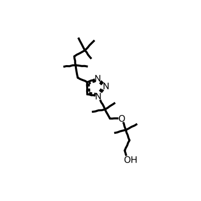 CC(C)(C)CC(C)(C)Cc1cn(C(C)(C)COC(C)(C)CCO)nn1